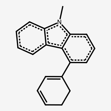 Cn1c2ccccc2c2c(C3=CC=CCC3)cccc21